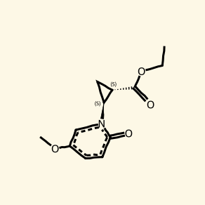 CCOC(=O)[C@H]1C[C@@H]1n1cc(OC)ccc1=O